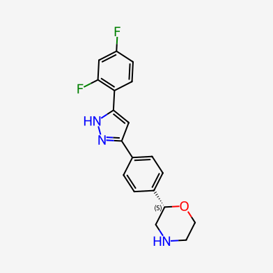 Fc1ccc(-c2cc(-c3ccc([C@H]4CNCCO4)cc3)n[nH]2)c(F)c1